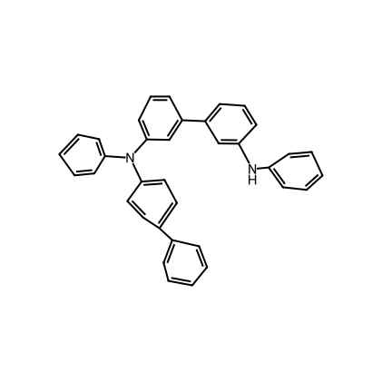 c1ccc(Nc2cccc(-c3cccc(N(c4ccccc4)c4ccc(-c5ccccc5)cc4)c3)c2)cc1